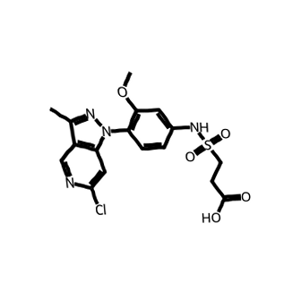 COc1cc(NS(=O)(=O)CCC(=O)O)ccc1-n1nc(C)c2cnc(Cl)cc21